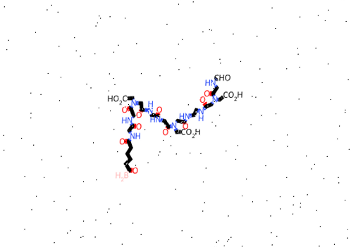 BC(=O)CCCCC(=O)NCC(=O)NCC(=O)N(CC(=O)O)CC(=O)NCC(=O)NCC(=O)N(CC(=O)O)CC(=O)NCCNC(=O)CN(CC(=O)O)C(=O)CNC=O